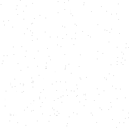 CN1C[C@H]2CN(c3cncc(-c4ccc5[nH]c6ccccc6c5c4)c3)C[C@H]21.O=C(O)C(F)(F)F.O=C(O)C(F)(F)F